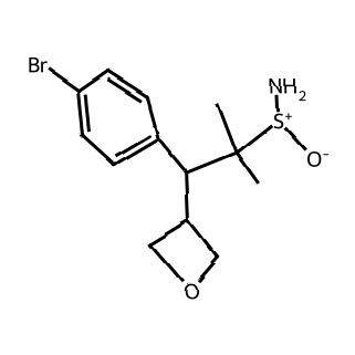 CC(C)(C(c1ccc(Br)cc1)C1COC1)[S+](N)[O-]